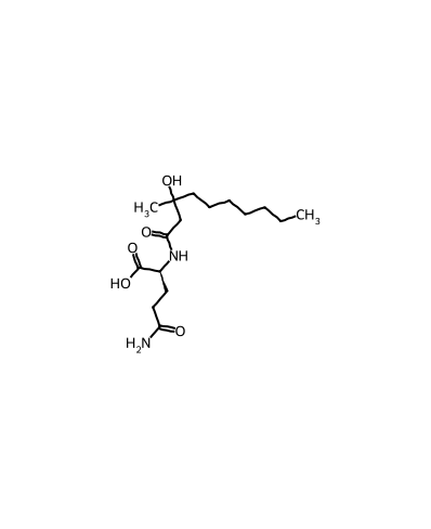 CCCCCCCC(C)(O)CC(=O)N[C@@H](CCC(N)=O)C(=O)O